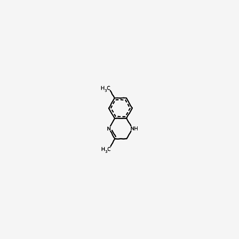 CC1=Nc2cc(C)ccc2NC1